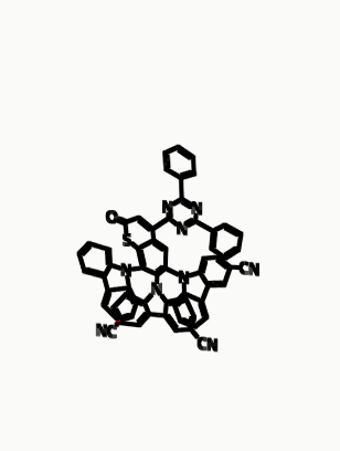 N#Cc1ccc2c(c1)c1ccccc1n2-c1cc2c(-c3nc(-c4ccccc4)nc(-c4ccccc4)n3)cc(=O)sc2c(-n2c3ccccc3c3cc(C#N)ccc32)c1-n1c2ccccc2c2cc(C#N)ccc21